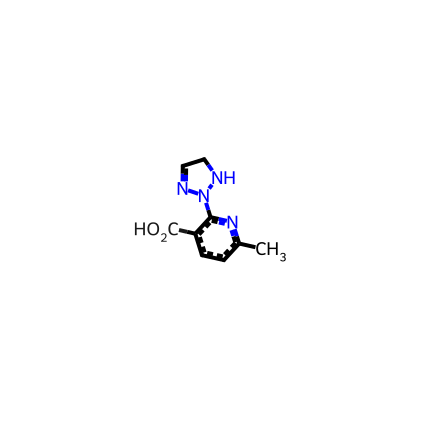 Cc1ccc(C(=O)O)c(N2N=CCN2)n1